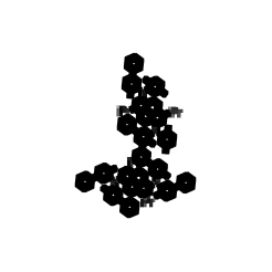 Cc1ccc(C)c(N(c2cc(-c3ccccc3)ccc2C)c2cc(C(C)C)c3ccc4c(N(c5cc(C)ccc5C)c5cc(-c6ccccc6)cc(-c6cccc(-c7ccc(C)c(N(c8cc(-c9ccccc9)ccc8C)c8cc(C(C)C)c9ccc%10c(N(c%11cc(-c%12ccccc%12)ccc%11C)c%11cc(-c%12ccccc%12)ccc%11C)cc(C(C)C)c%11ccc8c9c%11%10)c7)c6)c5C)cc(C(C)C)c5ccc2c3c54)c1